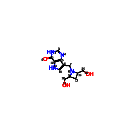 O=c1[nH]cnc2c(CN3C(CO)CC3CO)c[nH]c12